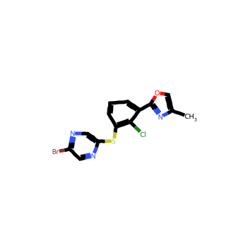 Cc1coc(-c2cccc(Sc3cnc(Br)cn3)c2Cl)n1